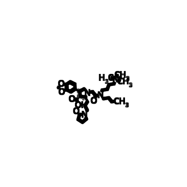 CCCCN(CCCC[N+](C)(C)C)C(=O)CN1C[C@H](c2ccc3c(c2)OCO3)[C@@H](C(=O)O)[C@@H]1CCCN1CCCC1=O